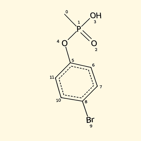 CP(=O)(O)Oc1ccc(Br)cc1